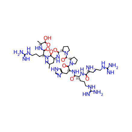 CC(C)C[C@H](NC(=O)[C@@H]1CCCN1C(=O)[C@@H]1CCCN1C(=O)[C@H](Cc1c[nH]cn1)NC(=O)[C@H](CCCNC(=N)N)NC(=O)[C@@H](N)CCCNC(=N)N)C(=O)N[C@@H](CCCNC(=N)N)C(=O)N[C@@H](C)C(=O)O